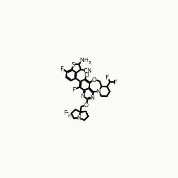 N#CC1c2c(-c3c(Cl)c4c5c(nc(OCC67CCCN6C[C@H](F)C7)nc5c3F)N3CCCC(C(F)F)C3CO4)ccc(F)c2SC1N